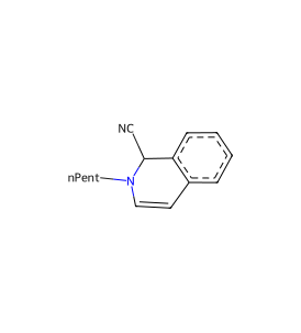 CCCCCN1C=Cc2ccccc2C1C#N